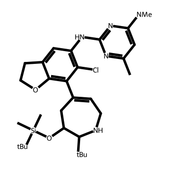 CNc1cc(C)nc(Nc2cc3c(c(C4=CCNC(C(C)(C)C)C(O[Si](C)(C)C(C)(C)C)C4)c2Cl)OCC3)n1